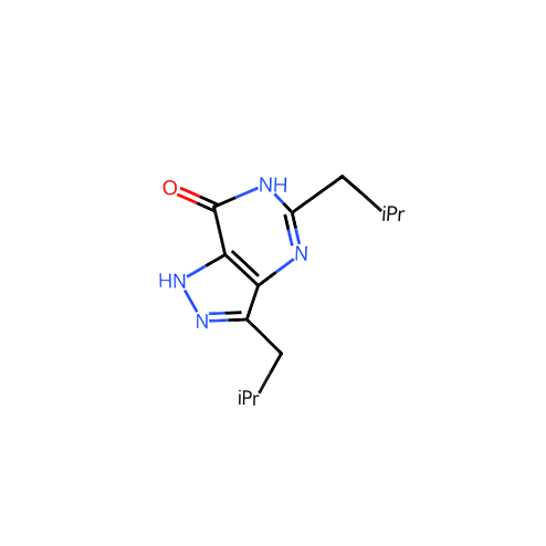 CC(C)Cc1nc2c(CC(C)C)n[nH]c2c(=O)[nH]1